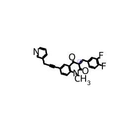 CN1C(=O)/C(=C\c2ccc(F)c(F)c2)C(=O)c2cc(C#CCc3cccnc3)ccc21